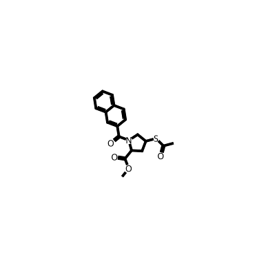 COC(=O)C1CC(SC(C)=O)CN1C(=O)c1ccc2ccccc2c1